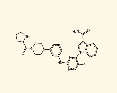 NC(=O)c1cn(-c2nc(Nc3cccc(N4CCN(C(=O)C5CCCN5)CC4)c3)ncc2F)c2ccccc12